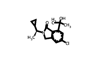 C[C@@H](C1CC1)N1Cc2cc(Cl)cc(C(C)(C)O)c2C1=O